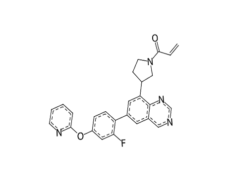 C=CC(=O)N1CCC(c2cc(-c3ccc(Oc4ccccn4)cc3F)cc3cncnc23)C1